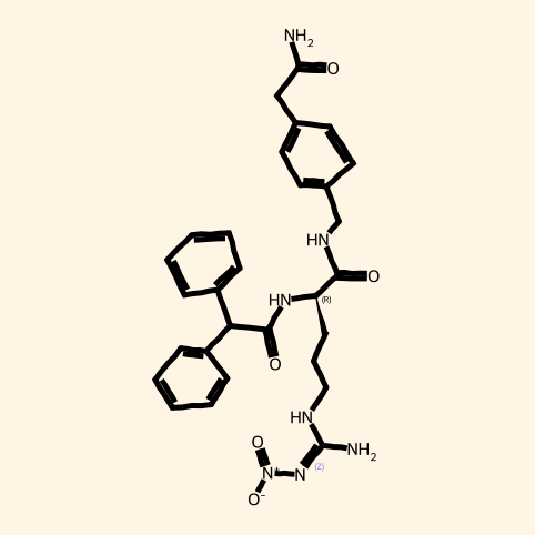 NC(=O)Cc1ccc(CNC(=O)[C@@H](CCCN/C(N)=N\[N+](=O)[O-])NC(=O)C(c2ccccc2)c2ccccc2)cc1